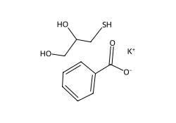 O=C([O-])c1ccccc1.OCC(O)CS.[K+]